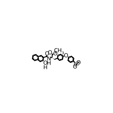 COC(=O)[C@H](Cc1ccc(Oc2ccc([N+](=O)[O-])cc2)cc1)NC(=O)c1cc2ccccc2cc1O